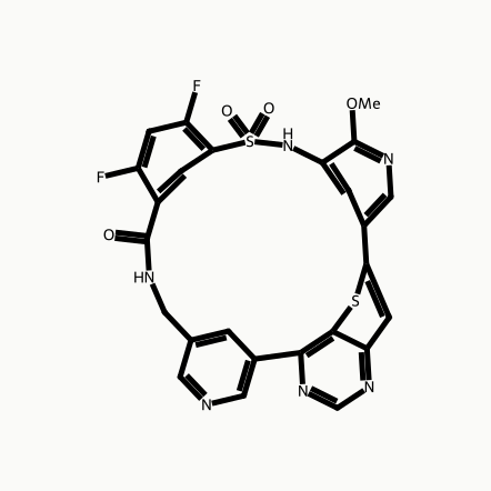 COc1ncc2cc1NS(=O)(=O)c1cc(c(F)cc1F)C(=O)NCc1cncc(c1)-c1ncnc3cc-2sc13